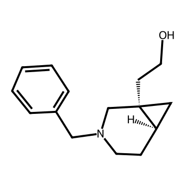 OCC[C@]12C[C@H]1CCN(Cc1ccccc1)C2